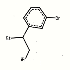 CCC(CC(C)C)c1cccc(Br)c1